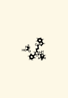 O=C(N[C@H](C=CC(=O)N1CCc2ccccc21)CCc1ccccc1)[C@@H]1NC[C@@H]2C[C@@H]21.O=C(O)C(F)(F)F